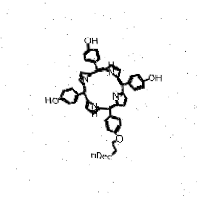 CCCCCCCCCCCCOc1ccc(-c2c3nc(c(-c4ccc(O)cc4)c4ccc([nH]4)c(-c4ccc(O)cc4)c4nc(c(-c5ccc(O)cc5)c5ccc2[nH]5)C=C4)C=C3)cc1